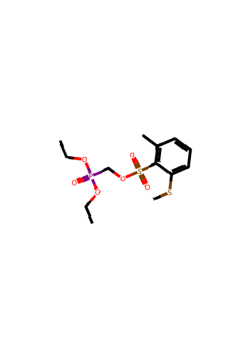 CCOP(=O)(COS(=O)(=O)c1c(C)cccc1SC)OCC